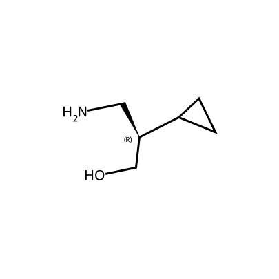 NC[C@H](CO)C1CC1